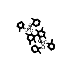 Cc1ccccc1OP(Oc1ccccc1C)Oc1c(C)cc(C)c(C)c1-c1c(C)c(C)cc(C)c1OP(Oc1ccccc1C)Oc1ccccc1C